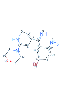 N=C(C1=CCNC(N2CCOCC2)=C1)c1cc(Br)ccc1N